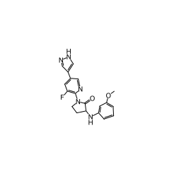 COc1cccc(NC2CCN(c3ncc(-c4cn[nH]c4)cc3F)C2=O)c1